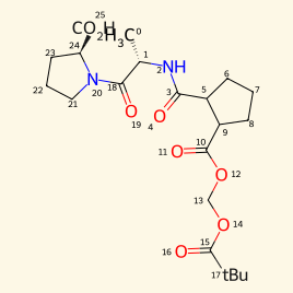 C[C@H](NC(=O)C1CCCC1C(=O)OCOC(=O)C(C)(C)C)C(=O)N1CCC[C@H]1C(=O)O